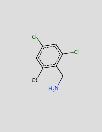 CCc1cc(Cl)cc(Cl)c1CN